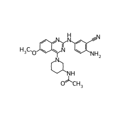 COc1ccc2nc(Nc3ccc(N)c(C#N)c3)nc(N3CCCC(NC(C)=O)C3)c2c1